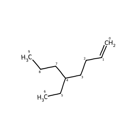 C=CCCC(CC)CCC